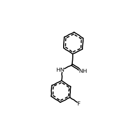 N=C(Nc1cccc(F)c1)c1ccccc1